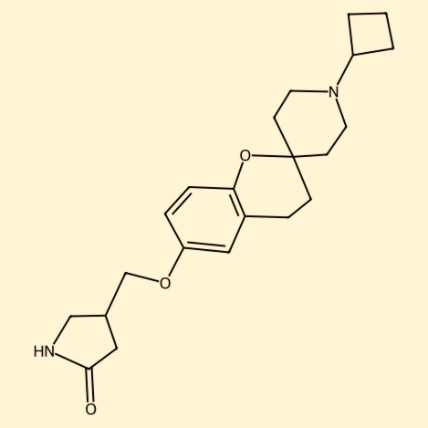 O=C1CC(COc2ccc3c(c2)CCC2(CCN(C4CCC4)CC2)O3)CN1